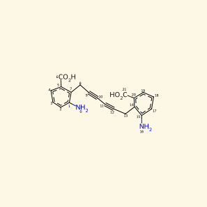 Nc1cccc(C(=O)O)c1CC#CC#CCc1c(N)cccc1C(=O)O